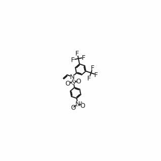 C=CN(c1cc(C(F)(F)F)cc(C(F)(F)F)c1)S(=O)(=O)c1ccc([N+](=O)[O-])cc1